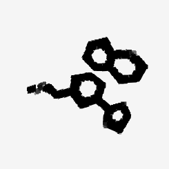 CCc1cccc(-c2nccs2)c1.c1ccc2ncccc2c1